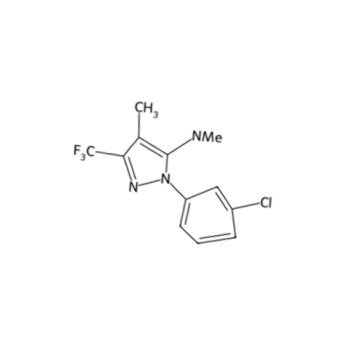 CNc1c(C)c(C(F)(F)F)nn1-c1cccc(Cl)c1